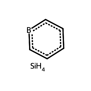 [SiH4].b1ccccc1